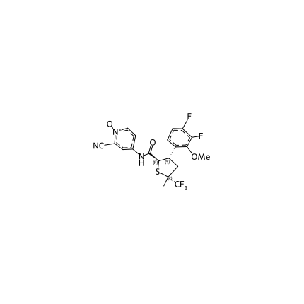 COc1c([C@@H]2C[C@](C)(C(F)(F)F)S[C@H]2C(=O)Nc2cc[n+]([O-])c(C#N)c2)ccc(F)c1F